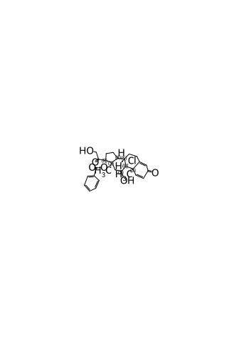 C[C@]12C=CC(=O)C=C1CC[C@H]1[C@@H]3CC[C@](OC(=O)c4ccccc4)(C(=O)CO)[C@@]3(C)C[C@H](O)[C@@]12Cl